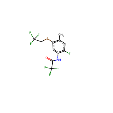 Cc1cc(F)c(NC(=O)C(F)(F)F)cc1SCC(F)(F)F